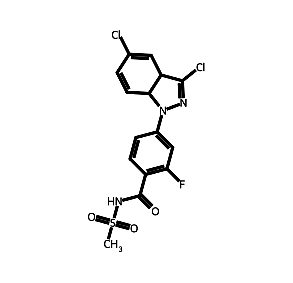 CS(=O)(=O)NC(=O)c1ccc(N2N=C(Cl)C3C=C(Cl)C=CC32)cc1F